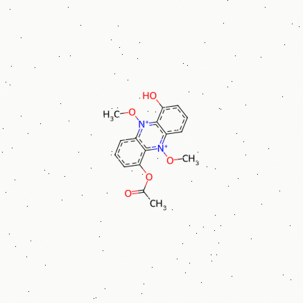 CO[n+]1c2cccc(OC(C)=O)c2[n+](OC)c2cccc(O)c21